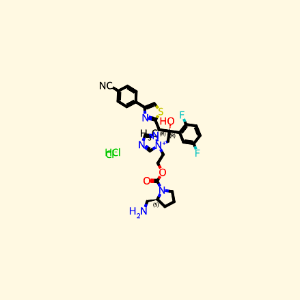 C[C@@H](c1nc(-c2ccc(C#N)cc2)cs1)[C@](O)(C[N+]1(CCOC(=O)N2CCC[C@H]2CN)C=NC=N1)c1cc(F)ccc1F.Cl.[Cl-]